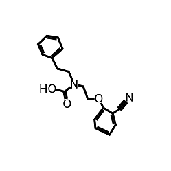 N#Cc1ccccc1OCCN(CCc1ccccc1)C(=O)O